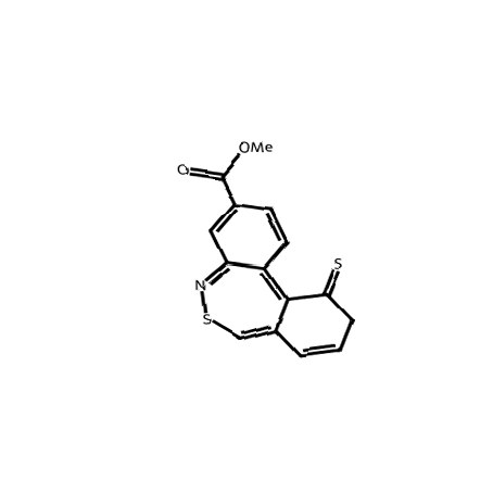 COC(=O)c1ccc2c(c1)=NSC=C1C=CCC(=S)C=21